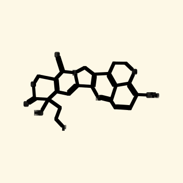 COc1ccc2nc3c(c4c2c1OCC4)Cn1c-3cc2c(c1=O)COC(=O)C2(O)CCF